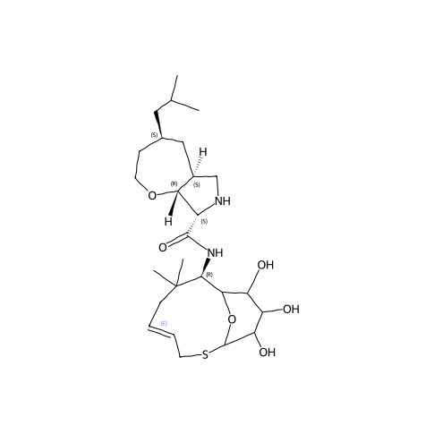 CC(C)C[C@@H]1CCO[C@@H]2[C@H](CN[C@@H]2C(=O)N[C@H]2C3OC(SC/C=C/CC2(C)C)C(O)C(O)C3O)C1